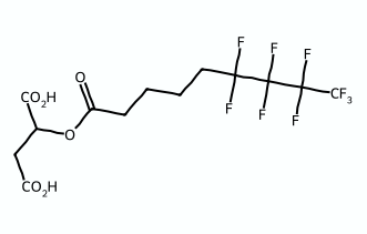 O=C(O)CC(OC(=O)CCCCC(F)(F)C(F)(F)C(F)(F)C(F)(F)F)C(=O)O